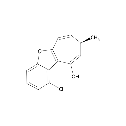 C[C@@H]1C=Cc2oc3cccc(Cl)c3c2C(O)=C1